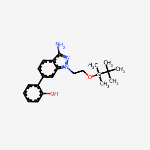 CC(C)(C)[Si](C)(C)OCCn1nc(N)c2ccc(-c3ccccc3O)cc21